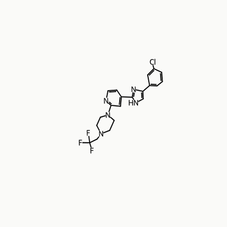 FC(F)(F)CN1CCN(c2cc(-c3nc(-c4cccc(Cl)c4)c[nH]3)ccn2)CC1